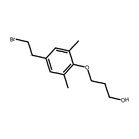 Cc1cc([CH]CBr)cc(C)c1OCCCO